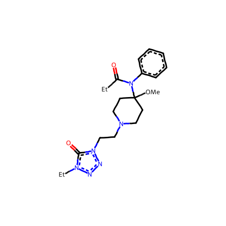 CCC(=O)N(c1ccccc1)C1(OC)CCN(CCn2nnn(CC)c2=O)CC1